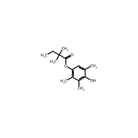 CCC(C)(C)C(=O)Oc1cc(C)c(O)c(C)c1C